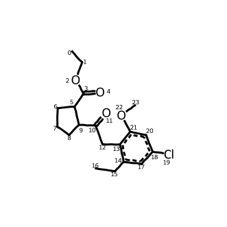 CCOC(=O)C1CCCC1C(=O)Cc1c(CC)cc(Cl)cc1OC